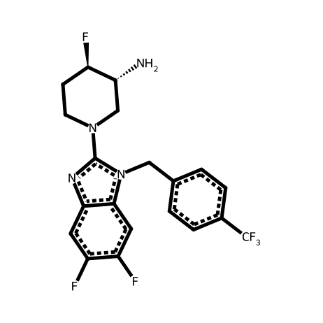 N[C@@H]1CN(c2nc3cc(F)c(F)cc3n2Cc2ccc(C(F)(F)F)cc2)CC[C@H]1F